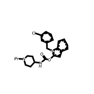 CC(C)N1CCC(NC(=O)Oc2cc3ccccc3n2Cc2cccc(Cl)c2)CC1